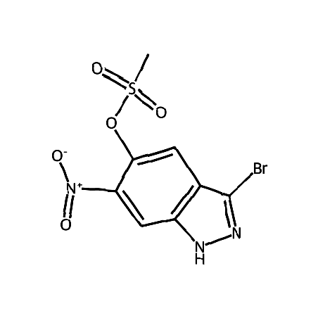 CS(=O)(=O)Oc1cc2c(Br)n[nH]c2cc1[N+](=O)[O-]